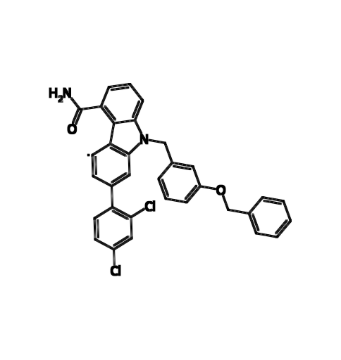 NC(=O)c1cccc2c1c1[c]cc(-c3ccc(Cl)cc3Cl)cc1n2Cc1cccc(OCc2ccccc2)c1